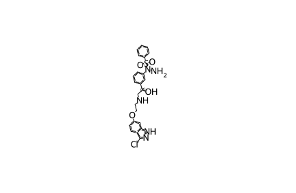 NN(c1cccc([C@@H](O)CNCCOc2ccc3c(Cl)n[nH]c3c2)c1)S(=O)(=O)c1ccccc1